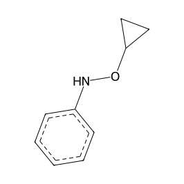 c1ccc(NOC2CC2)cc1